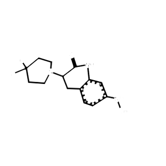 CNc1ccc2c(c1)NC(=O)C(N1CCC(F)(F)CC1)C2